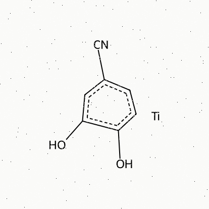 N#Cc1ccc(O)c(O)c1.[Ti]